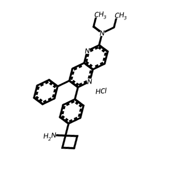 CCN(CC)c1ccc2nc(-c3ccc(C4(N)CCC4)cc3)c(-c3ccccc3)cc2n1.Cl